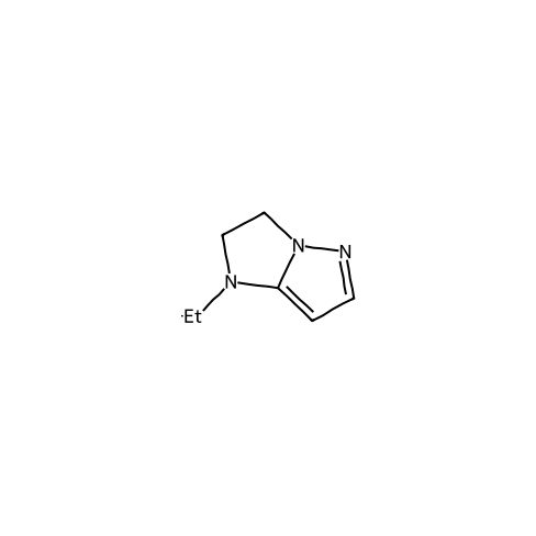 C[CH]N1CCn2nccc21